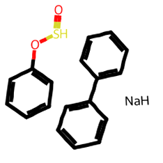 O=[SH]Oc1ccccc1.[NaH].c1ccc(-c2ccccc2)cc1